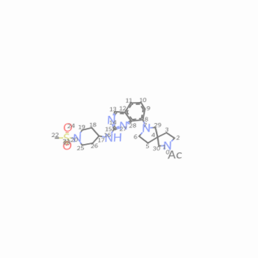 CC(=O)N1CCC2(CCN(c3cccc4cnc(NC5CCN(S(C)(=O)=O)CC5)nc34)C2)C1